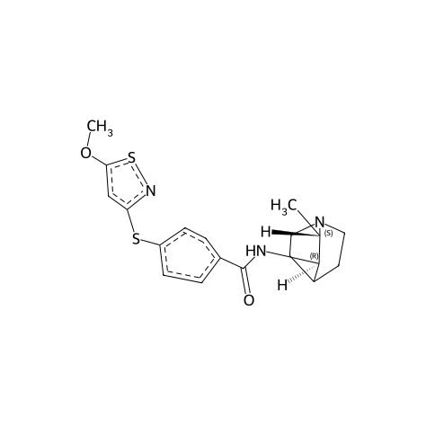 COc1cc(Sc2ccc(C(=O)N[C@@H]3C4CCN(CC4)[C@H]3C)cc2)ns1